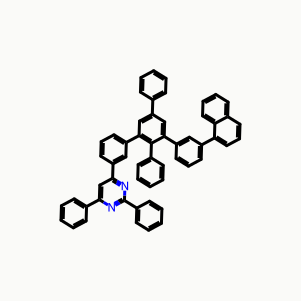 c1ccc(-c2cc(-c3cccc(-c4cc(-c5ccccc5)nc(-c5ccccc5)n4)c3)c(-c3ccccc3)c(-c3cccc(-c4cccc5ccccc45)c3)c2)cc1